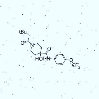 CC(C)(C)CC(=O)N1CCC(O)(C(=O)Nc2ccc(OC(F)(F)F)cc2)CC1